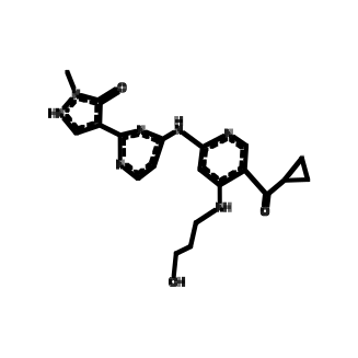 Cn1[nH]cc(-c2nccc(Nc3cc(NCCCO)c(C(=O)C4CC4)cn3)n2)c1=O